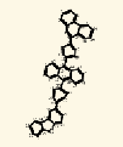 c1ccc2c(c1)cc(-c1ccc(-c3c4ccccc4c(-c4ccc(-c5ccc6oc7ccccc7c6c5)cc4)c4ccccc34)cc1)c1ccccc12